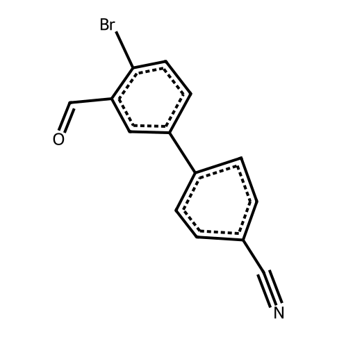 N#Cc1ccc(-c2ccc(Br)c(C=O)c2)cc1